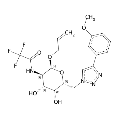 C=CCO[C@H]1O[C@H](Cn2cc(-c3cccc(OC)c3)nn2)[C@H](O)[C@H](O)[C@H]1NC(=O)C(F)(F)F